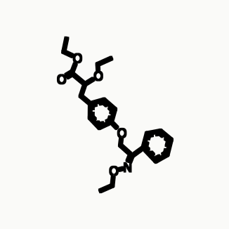 CCO/N=C(\COc1ccc(CC(OCC)C(=O)OCC)cc1)c1ccccc1